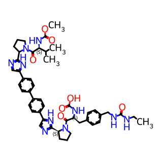 CCNC(=O)NCc1ccc(C[C@H](NC(=O)O)C(=O)N2CCC[C@H]2c2ncc(-c3ccc(-c4ccc(-c5cnc(C6CCCN6C(=O)[C@@H](NC(=O)OC)C(C)C)[nH]5)cc4)cc3)[nH]2)cc1